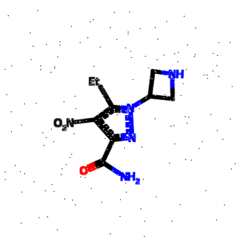 CCc1c([N+](=O)[O-])c(C(N)=O)nn1C1CNC1